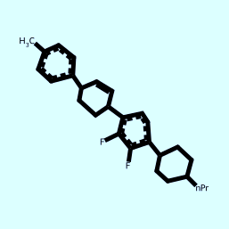 CCCC1CCC(c2ccc(C3C=CC(c4ccc(C)cc4)CC3)c(F)c2F)CC1